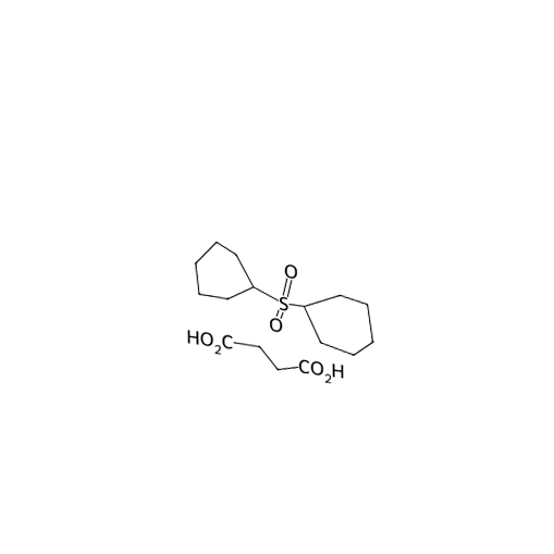 O=C(O)CCC(=O)O.O=S(=O)(C1CCCCC1)C1CCCCC1